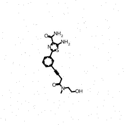 CN(CCO)C(=O)CC#Cc1cccc(-c2nc(C(N)=O)c(N)s2)c1